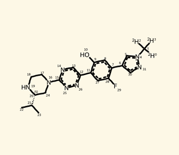 [2H]C([2H])([2H])n1cc(-c2cc(O)c(-c3cnc(N4CCN[C@@H](C(C)C)C4)nn3)cc2F)cn1